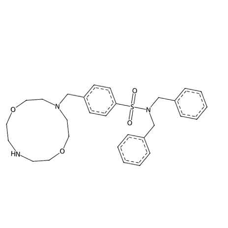 O=S(=O)(c1ccc(CN2CCOCCNCCOCC2)cc1)N(Cc1ccccc1)Cc1ccccc1